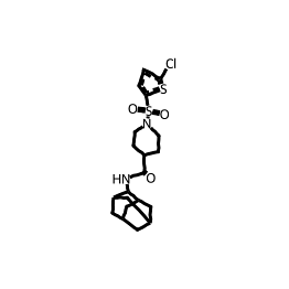 O=C(NC1C2CC3CC(C2)CC1C3)C1CCN(S(=O)(=O)c2ccc(Cl)s2)CC1